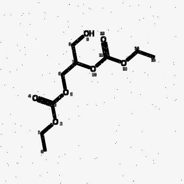 CCOC(=O)OCC(CO)OC(=O)OCC